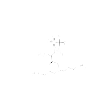 CCCC[S+](CCCC)CC(=O)C(C)C.O=S(=O)([O-])C(F)(F)F